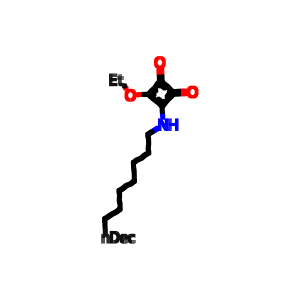 CCCCCCCCCCCCCCCCCNc1c(OCC)c(=O)c1=O